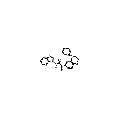 O=C(Nc1ccc2c(c1)N(c1ccccc1)CCS2)Nc1c[nH]c2ccccc12